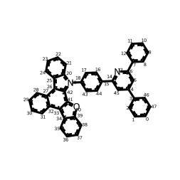 c1ccc(-c2cc(-c3ccccc3)nc(-c3ccc(-n4c5ccccc5c5c6ccccc6c6c7ccccc7oc6c54)cc3)c2)cc1